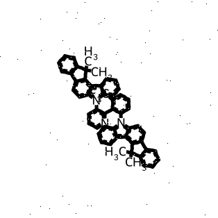 CC1(C)c2ccccc2-c2ccc3c(c21)c1ccccc1n3-c1cccnc1-c1c(-n2c3ccccc3c3c4c(ccc32)-c2ccccc2C4(C)C)cccc1C(F)(F)F